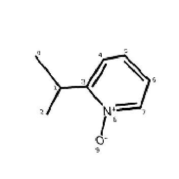 CC(C)c1cccc[n+]1[O-]